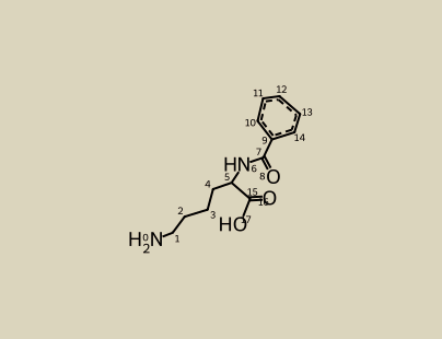 NCCCCC(NC(=O)c1ccccc1)C(=O)O